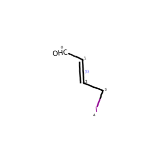 O=C/C=C/CI